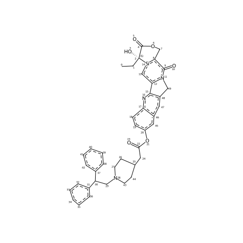 CC[C@@]1(O)C(=O)OCc2c(=O)n3c(c[si]21)-c1nc2ccc(OC(=O)CC4CCN(CC(c5ccccc5)c5ccccc5)CC4)cc2cc1C3